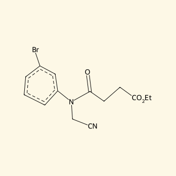 CCOC(=O)CCC(=O)N(CC#N)c1cccc(Br)c1